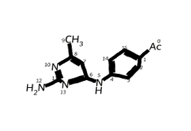 CC(=O)c1ccc(Nc2cc(C)nc(N)n2)cc1